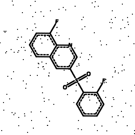 O=S(=O)(c1cnc2c(F)cccc2c1)c1ccccc1F